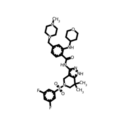 CN1CCN(Cc2ccc(C(=O)Nc3n[nH]c4c3CN(S(=O)(=O)c3cc(F)cc(F)c3)CC4(C)C)c(NC3CCOCC3)c2)CC1